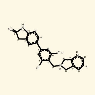 O=C1Cc2cc(-c3cc(F)c(CN4Cc5cccnc5C4)c(F)c3)ccc2N1